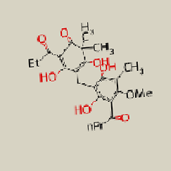 CCCC(=O)c1c(O)c(CC2=C(O)C(C)(C)C(=O)C(C(=O)CC)=C2O)c(O)c(C)c1OC